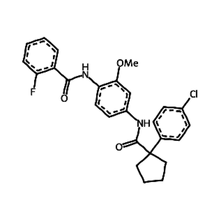 COc1cc(NC(=O)C2(c3ccc(Cl)cc3)CCCC2)ccc1NC(=O)c1ccccc1F